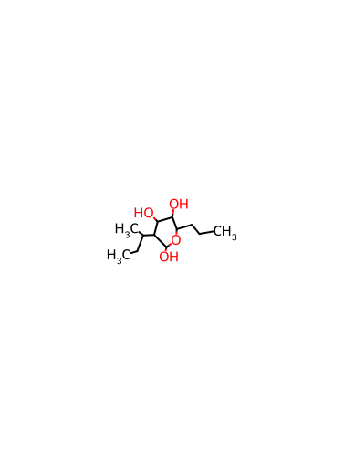 CCCC1OC(O)C(C(C)CC)C(O)C1O